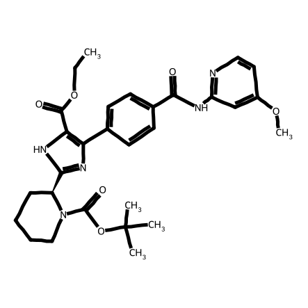 CCOC(=O)c1[nH]c([C@@H]2CCCCN2C(=O)OC(C)(C)C)nc1-c1ccc(C(=O)Nc2cc(OC)ccn2)cc1